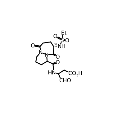 CCS(=O)(=O)N[C@H]1CCC(=O)N2CCCC(C(=O)NC(C=O)CC(=O)O)N2C1=O